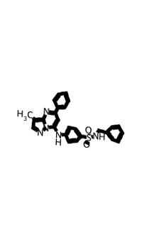 Cc1cnn2c(Nc3ccc(S(=O)(=O)NCc4ccccc4)cc3)cc(-c3ccccc3)nc12